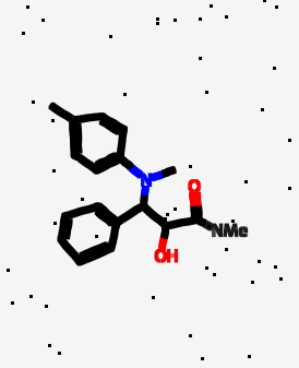 CNC(=O)C(O)C(c1ccccc1)N(C)c1ccc(C)cc1